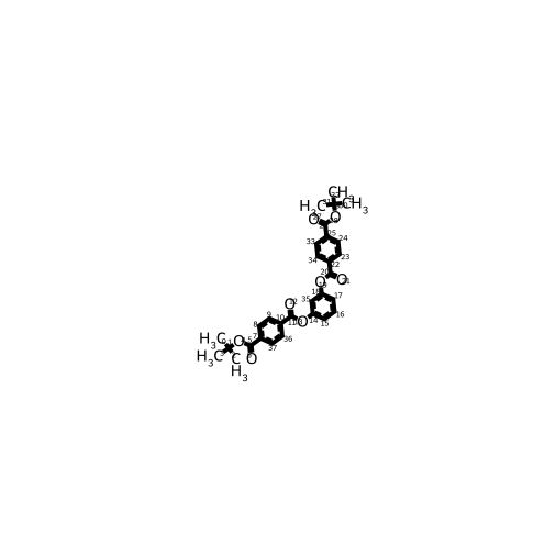 CC(C)(C)OC(=O)c1ccc(C(=O)Oc2cccc(OC(=O)c3ccc(C(=O)OC(C)(C)C)cc3)c2)cc1